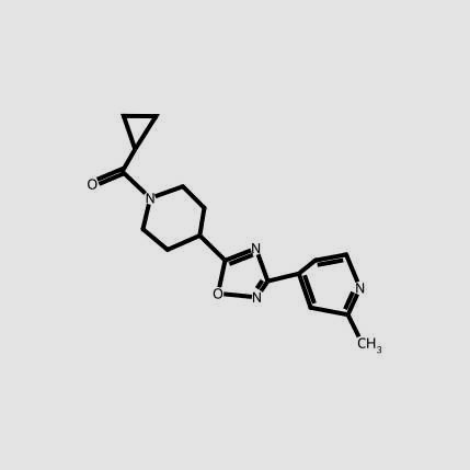 Cc1cc(-c2noc(C3CCN(C(=O)C4CC4)CC3)n2)ccn1